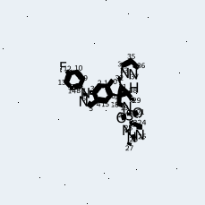 Cc1cc2c(cnn2-c2ccc(F)cc2)cc1[C@]12CN(S(=O)(=O)c3cnn(C)n3)C[C@H]1[C@@H]2Cn1cccn1